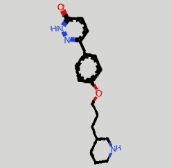 O=c1ccc(-c2ccc(OCCCC3CCCNC3)cc2)n[nH]1